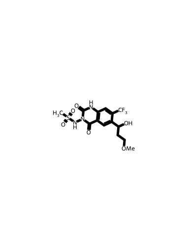 COCCC(O)c1cc2c(=O)n(NS(C)(=O)=O)c(=O)[nH]c2cc1C(F)(F)F